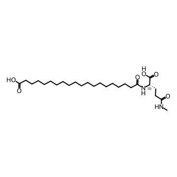 CNC(=O)CC[C@H](NC(=O)CCCCCCCCCCCCCCCCCCC(=O)O)C(=O)O